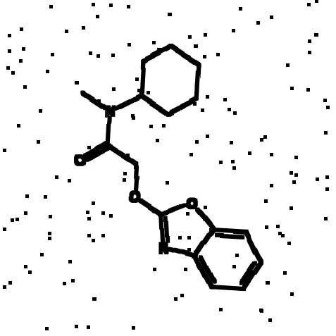 CN(C(=O)COc1nc2ccccc2o1)C1CCCCC1